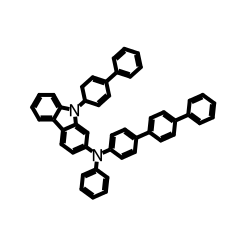 C1=CC(n2c3ccccc3c3ccc(N(c4ccccc4)c4ccc(-c5ccc(-c6ccccc6)cc5)cc4)cc32)CC=C1c1ccccc1